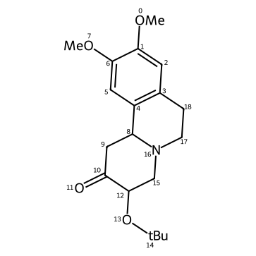 COc1cc2c(cc1OC)C1CC(=O)C(OC(C)(C)C)CN1CC2